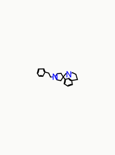 c1ccc(CCN2CCC3(CC2)CN2CCCc4cccc3c42)cc1